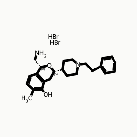 Br.Br.Cc1ccc2c(c1O)C[C@@H](C1CCN(CCc3ccccc3)CC1)O[C@H]2CN